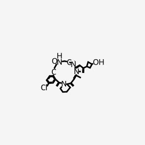 C=C(/C=C1/N(C)CCNC(=O)CCc2ccc(Cl)cc2C(=C)N2CCCCC2C(=C)/C=C(/C)N1C)C1CC(O)C1